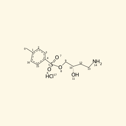 Cc1ccc(S(=O)(=O)OC[C@@H](O)CCN)cc1.Cl